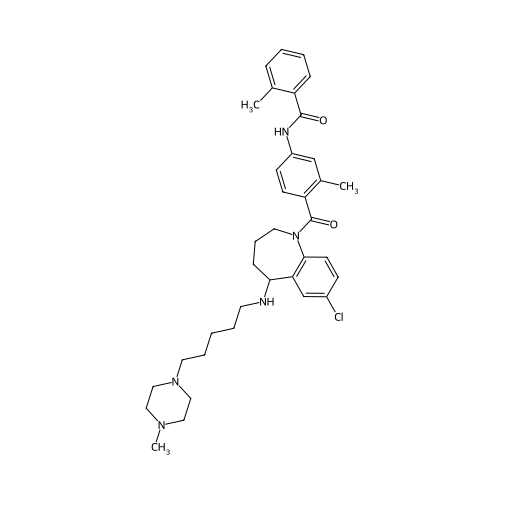 Cc1ccccc1C(=O)Nc1ccc(C(=O)N2CCCC(NCCCCCN3CCN(C)CC3)c3cc(Cl)ccc32)c(C)c1